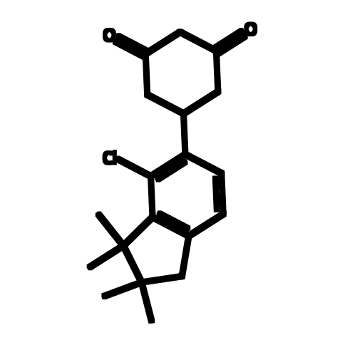 CC1(C)Cc2ccc(C3CC(=O)CC(=O)C3)c(Cl)c2C1(C)C